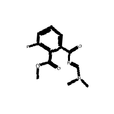 COC(=O)c1c(F)cccc1C(=O)/N=C/N(C)C